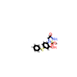 O=C1CN(c2ccc(Sc3ccccc3)cc2O)S(=O)(=O)N1